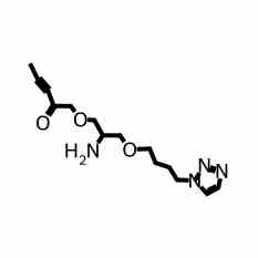 CC#CC(=O)COCC(N)COCCCCn1ccnn1